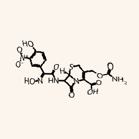 NC(=O)OCC1=C(C(=O)O)N2C(=O)C(NC(=O)C(=NO)c3ccc(O)c([N+](=O)[O-])c3)[C@@H]2SC1